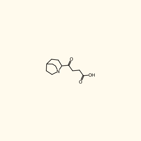 O=C(O)CCC(=O)C1CCC2CCN1CC2